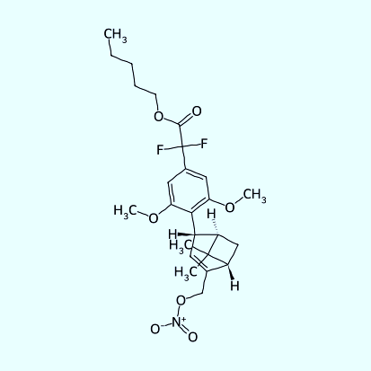 CCCCCOC(=O)C(F)(F)c1cc(OC)c([C@H]2C=C(CO[N+](=O)[O-])[C@H]3C[C@H]2C3(C)C)c(OC)c1